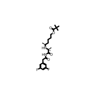 C[C@H](N[C@@H](C)CCCCOC(=O)C(C)(C)C)C(=O)NC(=O)Cc1cc(F)cc(F)c1